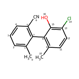 Cc1cccc(C#N)c1-c1c(C)ccc(Cl)c1O